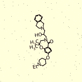 CCN1CCC(Oc2ccc3c(c2)OC(C)(C)CN(CC(O)CN2CCc4ccccc4C2)C3=O)CC1